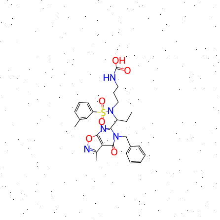 CCC(c1nc2onc(C)c2c(=O)n1Cc1ccccc1)N(CCCNC(=O)O)S(=O)(=O)c1cccc(C)c1